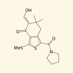 CSc1sc(C(=O)N2CCCC2)c2c1C(=O)C(=CO)C(C)(C)C2